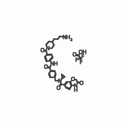 NCCCC1CCN(C(=O)c2ccc(NC(=O)c3ccc(CN(C(=O)c4ccc5c(c4)OCC(=O)N5)C4CC4)cc3)cc2)CC1.O=C(O)C(F)(F)F